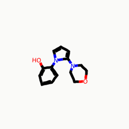 Oc1ccccc1-n1cccc1N1CCOCC1